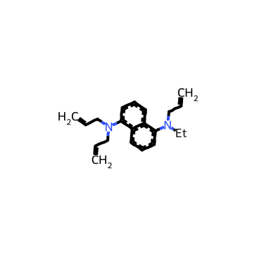 C=CCN(CC)c1cccc2c(N(CC=C)CC=C)cccc12